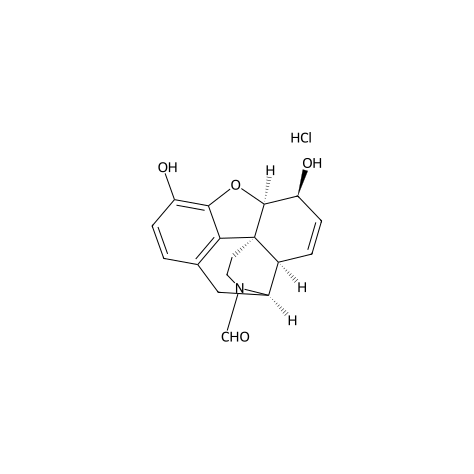 Cl.O=CN1CC[C@]23c4c5ccc(O)c4O[C@H]2[C@@H](O)C=C[C@H]3[C@H]1C5